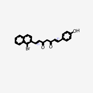 O=C(/C=C/c1ccc(O)cc1)CC(=O)/C=C/c1ccc2ccccc2c1Br